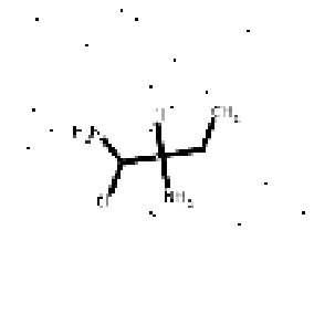 CCC(N)(Cl)C(N)Cl